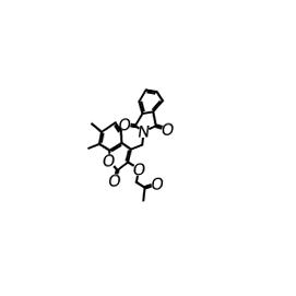 CC(=O)COc1c(CN2C(=O)c3ccccc3C2=O)c2ccc(C)c(C)c2oc1=O